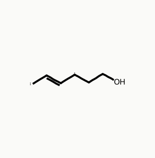 [CH]C=C[CH]CCO